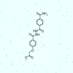 COC(=O)COc1ccc(C(=O)NNC(=O)c2ccc(C(N)=S)cc2)cc1